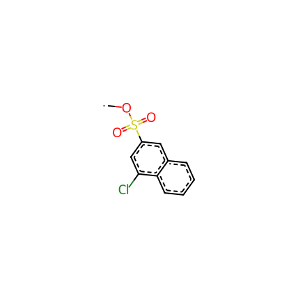 [CH2]OS(=O)(=O)c1cc(Cl)c2ccccc2c1